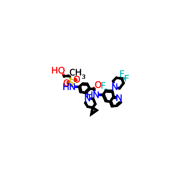 CC(CO)S(=O)(=O)Nc1ccc(C(=O)Nc2cc3cccnc3c(N3CCC(F)(F)CC3)c2F)c(N2CCC3(CC2)CC3)c1